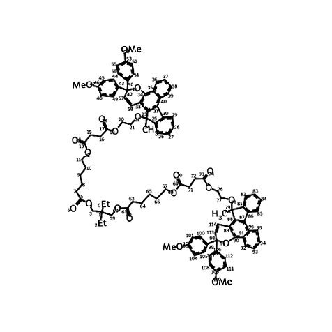 CCC(CC)(COC(=O)CCCCCOC(=O)CCC(=O)OCCOC1(C)c2ccccc2-c2c1c1c(c3ccccc23)OC(c2ccc(OC)cc2)(c2ccc(OC)cc2)C=C1)COC(=O)CCCCCOC(=O)CCC(=O)OCCOC1(C)c2ccccc2-c2c1c1c(c3ccccc23)OC(c2ccc(OC)cc2)(c2ccc(OC)cc2)C=C1